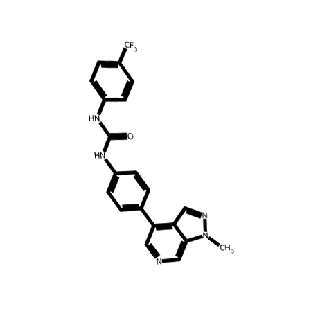 Cn1ncc2c(-c3ccc(NC(=O)Nc4ccc(C(F)(F)F)cc4)cc3)cncc21